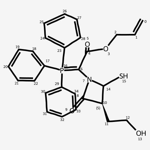 C=CCOC(=O)C(N1C(=O)[C@H](CCO)C1S)=P(c1ccccc1)(c1ccccc1)c1ccccc1